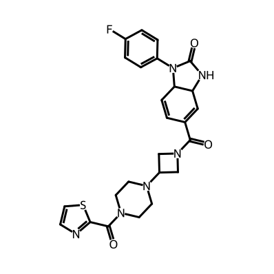 O=C(C1=CC2NC(=O)N(c3ccc(F)cc3)C2C=C1)N1CC(N2CCN(C(=O)c3nccs3)CC2)C1